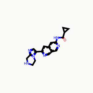 O=C(Nc1cc2cc(-c3cnc4n3CCNC4)ncc2cn1)C1CC1